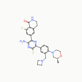 C[C@H]1CN(c2ccc(-c3nc(-c4cc(F)c5c(c4)CCNC5=O)c(N)nc3F)cc2CN2CCC2)CCO1